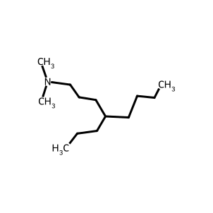 CCCCC(CCC)CCCN(C)C